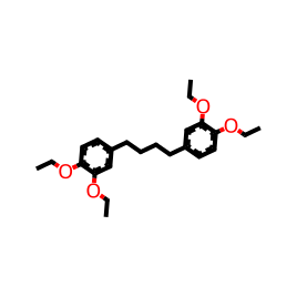 CCOc1ccc(CCCCc2ccc(OCC)c(OCC)c2)cc1OCC